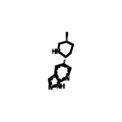 C[C@H]1CC[C@H](c2cnc3[nH]ncc3c2)NC1